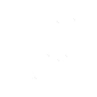 CN(C)[C@H]1CCN(C(=O)C2CCc3c(sc4ncnc(Nc5cc6c(s5)C(=O)NC65CCCCC5)c34)C2)C1